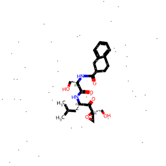 CC(C)C[C@H](NC(=O)[C@H](CO)NC(=O)C1CCc2ccccc2C1)C(=O)[C@@]1(CO)CO1